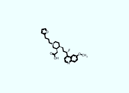 COc1ccc2nccc([C@@H](F)CC[C@@H]3CCN(CCCc4ccco4)C[C@@H]3CC(=O)O)c2c1